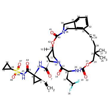 C=C[C@@H]1C[C@]1(NC(=O)[C@@H]1C[C@@H]2CN1C(=O)[C@H](CC(F)F)NC(=O)OCC(C)(C)CCCc1cccc3c1CN(C3)C(=O)O2)C(=O)NS(=O)(=O)C1CC1